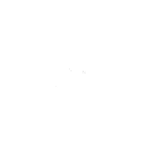 O=c1ccn(-c2ccccc2-n2cccc2)c2ccccc12